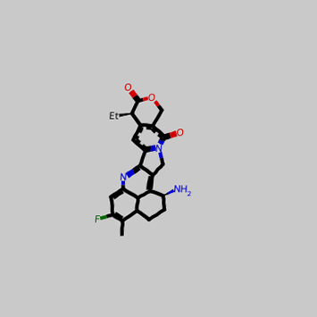 CC[C@H]1C(=O)OCc2c1cc1n(c2=O)CC2=C3C4C(=CC(F)=C(C)C4CC[C@@H]3N)N=C21